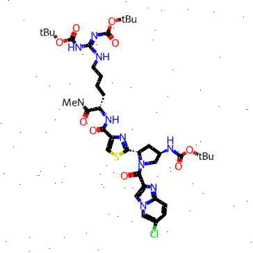 CNC(=O)[C@H](CCCCN/C(=N\C(=O)OC(C)(C)C)NC(=O)OC(C)(C)C)NC(=O)c1csc([C@@H]2C[C@@H](NC(=O)OC(C)(C)C)CN2C(=O)c2cn3cc(Cl)ccc3n2)n1